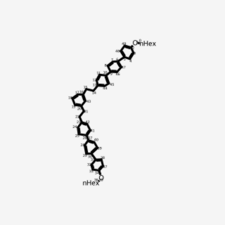 CCCCCCOc1ccc(-c2ccc(-c3ccc(CCc4cccc(CCc5ccc(-c6ccc(-c7ccc(OCCCCCC)cc7)cc6)cc5)c4)cc3)cc2)cc1